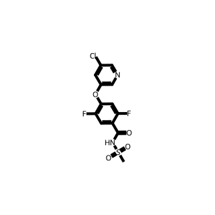 CS(=O)(=O)NC(=O)c1cc(F)c(Oc2cncc(Cl)c2)cc1F